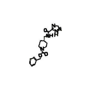 O=C(NCC1CCN(C(=O)OCc2ccccc2)CC1)c1ncn[nH]1